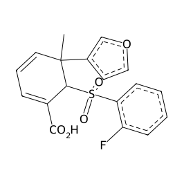 CC1(c2ccoc2)C=CC=C(C(=O)O)C1S(=O)(=O)c1ccccc1F